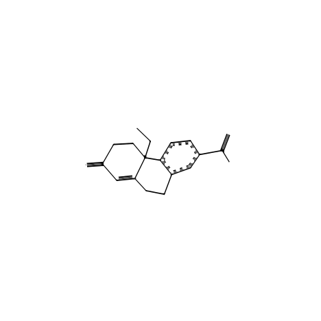 CCC12CCC(=O)C=C1CCc1cc(C(=O)O)ccc12